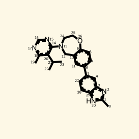 Cc1nc2cc(-c3ccc4c(c3)CN(c3n[c]nc(C)c3C(C)C)CCO4)ccc2[nH]1